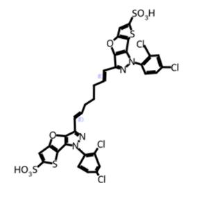 O=S(=O)(O)c1cc2oc3c(/C=C/CCC/C=C/c4nn(-c5ccc(Cl)cc5Cl)c5c4oc4cc(S(=O)(=O)O)sc45)nn(-c4ccc(Cl)cc4Cl)c3c2s1